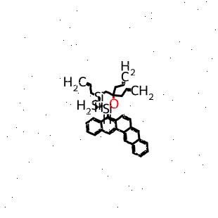 C=CC[SiH]1CC(CC=C)(CC=C)O[SiH](c2c3ccccc3cc3c2ccc2cc4ccccc4cc23)[SiH2]1